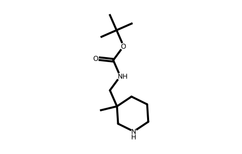 CC1(CNC(=O)OC(C)(C)C)CCCNC1